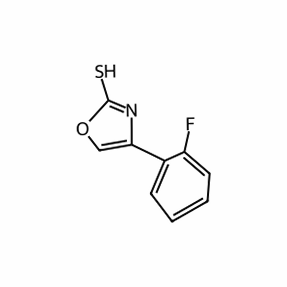 Fc1ccccc1-c1coc(S)n1